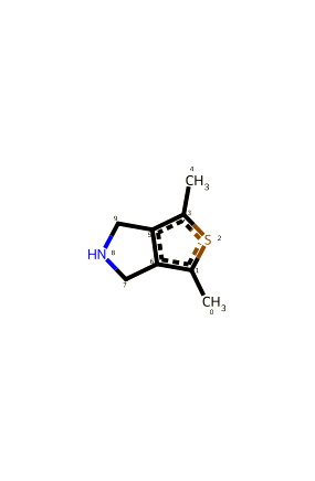 Cc1sc(C)c2c1CNC2